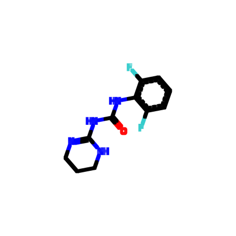 O=C(NC1=NCCCN1)Nc1c(F)cccc1F